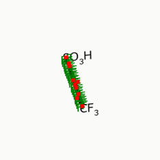 O=S(=O)(O)C(F)(F)C(F)(F)C(F)(F)C(F)(F)C(F)(F)C(F)(F)C(F)(F)C(F)(F)C(F)(F)C(F)(F)C(F)(F)C(F)(F)C(F)(F)C(F)(F)C(F)(F)C(F)(F)C(F)(F)C(F)(F)C(F)(F)C(F)(F)C(F)(F)C(F)(F)F